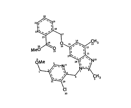 COCc1cnc(Cn2c(C)nc3c(C)cc(OCc4ccccc4C(=O)OC)cc32)c(Cl)c1